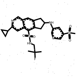 CC(C)(F)CNS(=O)(=O)c1c2c(cc3cnc(C4CC4)cc13)CC(Nc1cncc(S(C)(=O)=O)c1)C2